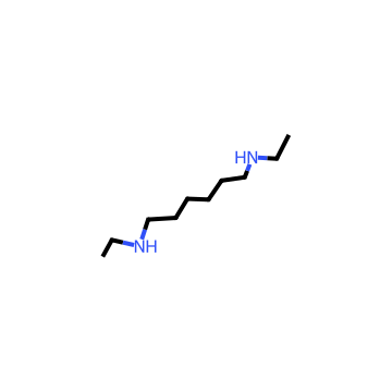 CCNCCCCCCNCC